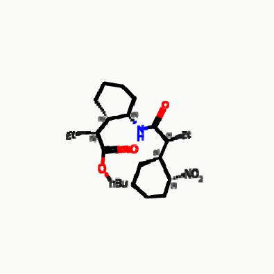 CCCCOC(=O)[C@@H](CC)[C@@H]1CCCC[C@@H]1NC(=O)[C@@H](CC)[C@@H]1CCCC[C@H]1[N+](=O)[O-]